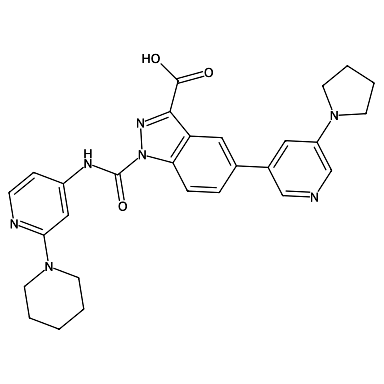 O=C(O)c1nn(C(=O)Nc2ccnc(N3CCCCC3)c2)c2ccc(-c3cncc(N4CCCC4)c3)cc12